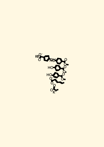 CC=CC=CC(=O)[O-].CCC(=O)[O-].COC(=O)c1ccc(O)cc1.COC(=O)c1ccc(O)cc1.COC(=O)c1ccc(O)cc1.O=C([O-])c1ccc(O)cc1.[K+].[K+].[K+]